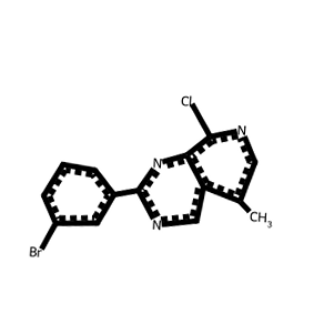 Cc1cnc(Cl)c2nc(-c3cccc(Br)c3)ncc12